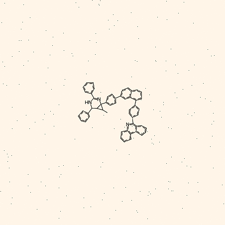 CC1C2C(c3ccccc3)NC(c3ccccc3)=NC12c1ccc(-c2ccc3cccc(-c4ccc(-c5nc6ccccc6c6ccccc56)cc4)c3c2)cc1